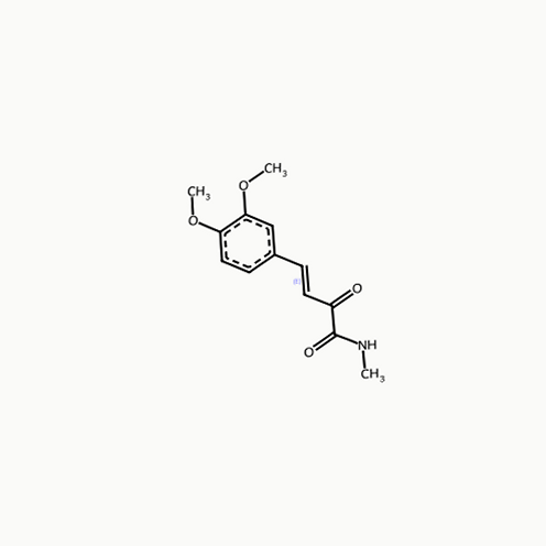 CNC(=O)C(=O)/C=C/c1ccc(OC)c(OC)c1